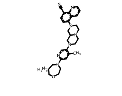 Cc1cc(N2CCOC[C@H](N)C2)ncc1N1CCN2CCN(c3ccc(C#N)c4ncccc34)CC2C1